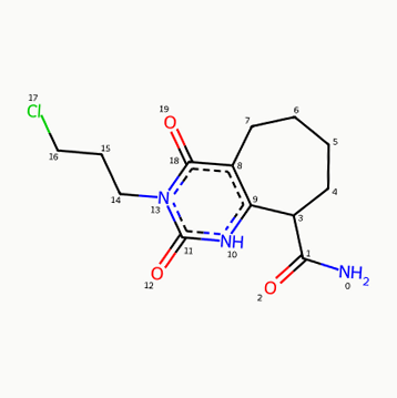 NC(=O)C1CCCCc2c1[nH]c(=O)n(CCCCl)c2=O